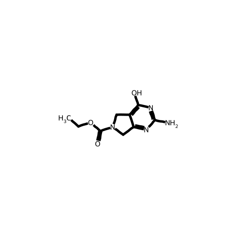 CCOC(=O)N1Cc2nc(N)nc(O)c2C1